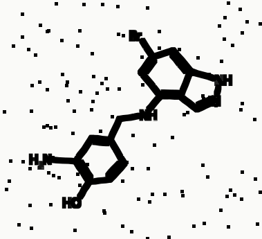 Nc1cc(CNc2cc(Br)cc3[nH]ncc23)ccc1O